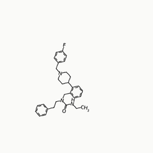 CCNC(=O)N(CCc1ccccc1)Cc1ccccc1C1CCN(Cc2ccc(F)cc2)CC1